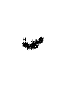 Cc1cccc2c1C1(CCN(C(O)c3ccc4[nH]ncc4c3)CC1)C(=O)N2CC(=O)NC1CCc2ccccc21